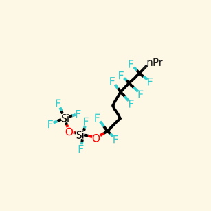 CCCC(F)(F)C(F)(F)C(F)(F)CCC(F)(F)O[Si](F)(F)O[Si](F)(F)F